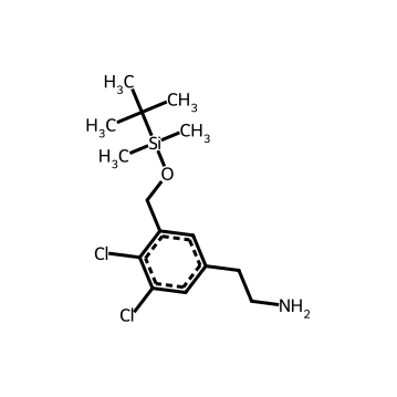 CC(C)(C)[Si](C)(C)OCc1cc(CCN)cc(Cl)c1Cl